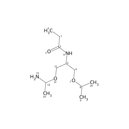 CCC(=O)NC(COC(C)C)COC(C)N